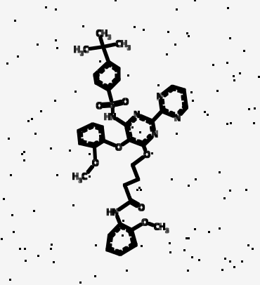 COc1ccccc1NC(=O)CCCOc1nc(-c2ncccn2)nc(NS(=O)(=O)c2ccc(C(C)(C)C)cc2)c1Oc1ccccc1OC